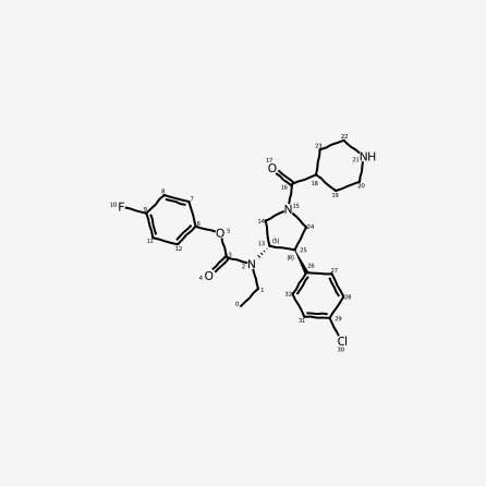 CCN(C(=O)Oc1ccc(F)cc1)[C@@H]1CN(C(=O)C2CCNCC2)C[C@H]1c1ccc(Cl)cc1